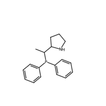 CC(C1CCCN1)P(c1ccccc1)c1ccccc1